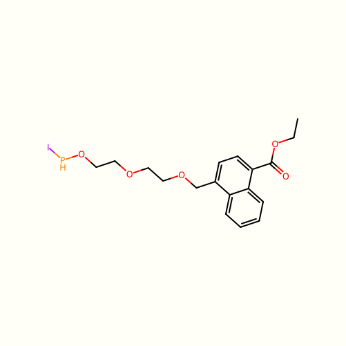 CCOC(=O)c1ccc(COCCOCCOPI)c2ccccc12